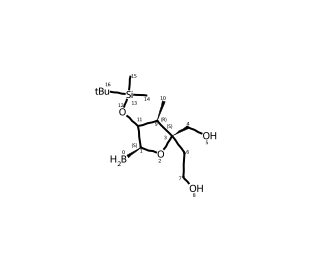 B[C@@H]1O[C@@](CO)(CCO)[C@H](C)C1O[Si](C)(C)C(C)(C)C